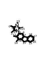 CC1=C(C)N(c2cc3c(c(C)c2C)Cc2ccccc2-3)[C@H](C)N1C